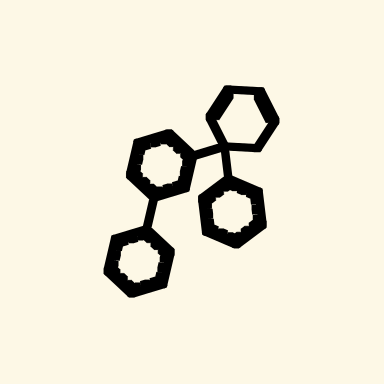 C1=CCC(c2ccccc2)(c2cccc(-c3ccccc3)c2)C=C1